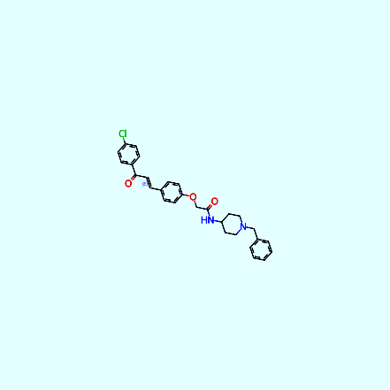 O=C(COc1ccc(/C=C/C(=O)c2ccc(Cl)cc2)cc1)NC1CCN(Cc2ccccc2)CC1